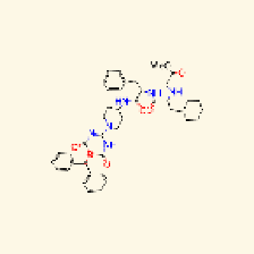 COC(=O)CNC(CC1CCCCC1)C(=O)NC(Cc1ccccc1)C(=O)NC1CCN(C(=NC(=O)OCc2ccccc2)NC(=O)OCc2ccccc2)CC1